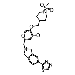 CS(=O)(=O)N1CCC(COc2coc(CN3Cc4ccc(-c5nncs5)cc4C3)cc2=O)CC1